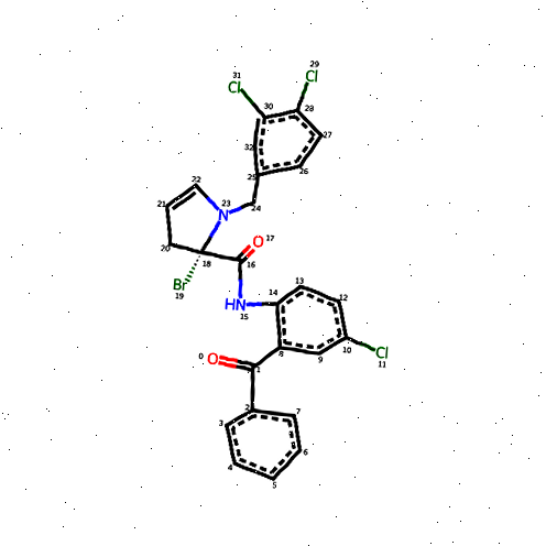 O=C(c1ccccc1)c1cc(Cl)ccc1NC(=O)[C@@]1(Br)CC=CN1Cc1ccc(Cl)c(Cl)c1